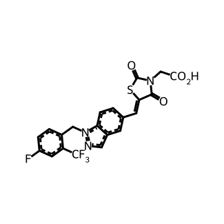 O=C(O)CN1C(=O)S/C(=C\c2ccc3c(cnn3Cc3ccc(F)cc3C(F)(F)F)c2)C1=O